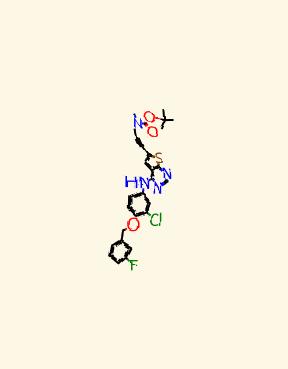 CN(CC#Cc1cc2c(Nc3ccc(OCc4cccc(F)c4)c(Cl)c3)ncnc2s1)C(=O)OC(C)(C)C